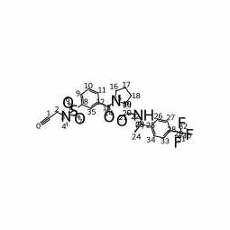 C#CCN(C)S(=O)(=O)c1cccc(C(=O)N2CCC[C@@H]2C(=O)N[C@H](C)c2ccc(C(F)(F)F)cc2)c1